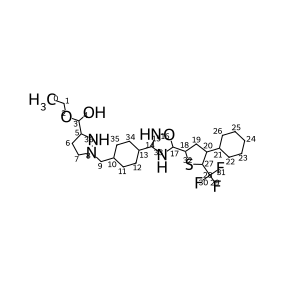 CCOC(O)C1CCN(CC2CCC(C3NOC(C4CC(C5CCCCC5)C(C(F)(F)F)S4)N3)CC2)N1